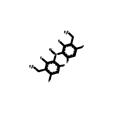 [O-][S+](c1c(F)cc(F)c(CC(F)(F)F)c1F)c1c(F)cc(F)c(CC(F)(F)F)c1F